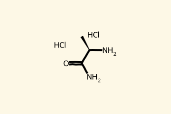 C[C@@H](N)C(N)=O.Cl.Cl